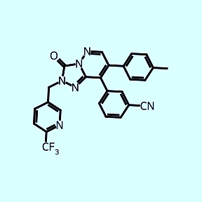 Cc1ccc(-c2cnn3c(=O)n(Cc4ccc(C(F)(F)F)nc4)nc3c2-c2cccc(C#N)c2)cc1